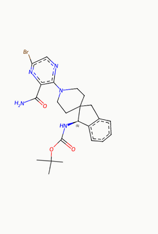 CC(C)(C)OC(=O)N[C@@H]1c2ccccc2CC12CCN(c1ncc(Br)nc1C(N)=O)CC2